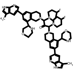 Cc1c[nH]c2ncc(-c3cc4c(c(C5COCCN5)c3)CN(C(C(=O)C(N3CCC(F)CC3)N3CCc5cc(-c6cnc7[nH]cc(C)c7c6)cc(C6COCCN6)c5C3)N3CCC(F)CC3)CC4)cc12